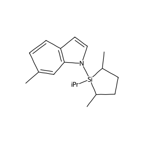 Cc1ccc2ccn([Si]3(C(C)C)C(C)CCC3C)c2c1